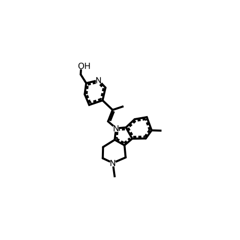 CC(=Cn1c2c(c3cc(C)ccc31)CN(C)CC2)c1ccc(CO)nc1